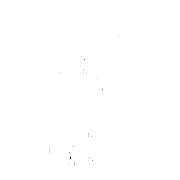 COC(=O)c1nn(-c2cccc(C#C[C@@](C)(O)c3ncccn3)c2)c2ncccc12